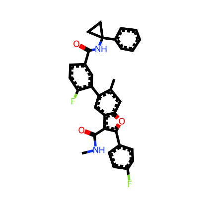 CNC(=O)c1c(-c2ccc(F)cc2)oc2cc(C)c(-c3cc(C(=O)NC4(c5ccccc5)CC4)ccc3F)cc12